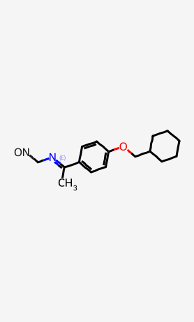 C/C(=N\CN=O)c1ccc(OCC2CCCCC2)cc1